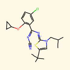 CC(C)Cn1cc(C(C)(C)C)s/c1=N\C(=NC#N)c1cc(Cl)ccc1OC1CC1